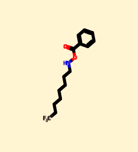 O=C(ONCCCCCCCC(F)(F)F)c1ccccc1